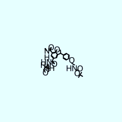 CNC(=O)c1cc(C(=O)N[C@H]2[C@@H]3COC[C@@H]32)cc2c1OCC2c1ccc(OCCNC(=O)OC(C)(C)C)cc1